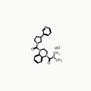 CN(C)C(=O)N1CCN(C(=O)N2CCC(c3cccnc3)C2)c2ccccc21.Cl